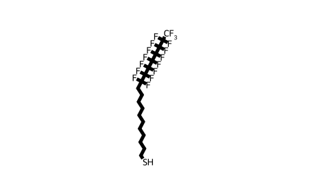 FC(F)(F)C(F)(F)C(F)(F)C(F)(F)C(F)(F)C(F)(F)C(F)(F)C(F)(F)CCCCCCCCCCCS